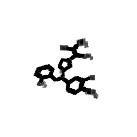 C=C(C(C)O)N1CC[C@H](N(Cc2ccccc2C(F)(F)F)C2C=CC(N)=C(Cl)C2)C1